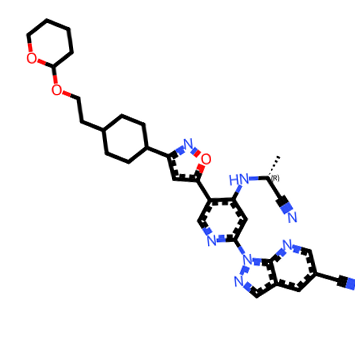 C[C@H](C#N)Nc1cc(-n2ncc3cc(C#N)cnc32)ncc1-c1cc(C2CCC(CCOC3CCCCO3)CC2)no1